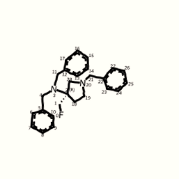 FC[C@@]1(N(Cc2ccccc2)Cc2ccccc2)CCN(Cc2ccccc2)C1